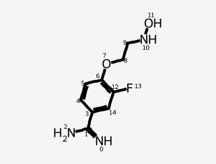 N=C(N)c1ccc(OCCNO)c(F)c1